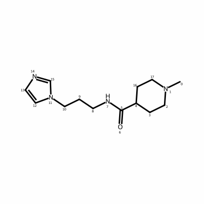 CN1CCC(C(=O)NCCCn2ccnc2)CC1